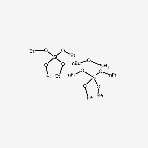 CCCCO[SiH3].CCCO[Si](OCCC)(OCCC)OCCC.CCO[Si](OCC)(OCC)OCC